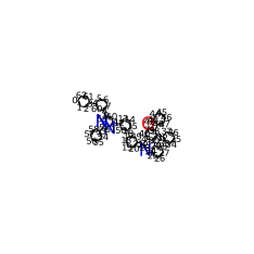 c1ccc(-c2cccc(-c3cc(-c4cccc(-c5cccc(-c6nc7ccccc7c7c(-c8ccccc8)c8c(cc67)oc6ccccc68)c5)c4)nc(-c4ccccc4)n3)c2)cc1